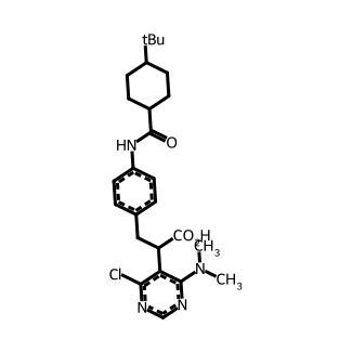 CN(C)c1ncnc(Cl)c1C(Cc1ccc(NC(=O)C2CCC(C(C)(C)C)CC2)cc1)C(=O)O